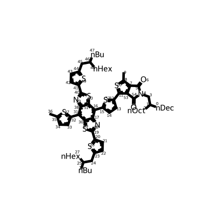 CCCCCCCCCCC(CCCCCCCC)CN1C(=O)c2c(C)sc(-c3ccc(-c4c5nc(-c6ccc(CC(CCCC)CCCCCC)s6)sc5c(-c5ccc(C)s5)c5nc(-c6ccc(CC(CCCC)CCCCCC)s6)sc45)s3)c2C1=O